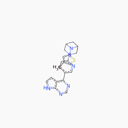 Cc1csc(N2C3CC2CN(c2ccc(-c4ncnc5[nH]ccc45)cn2)C3)c1